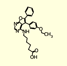 CCOc1ccc(-c2c(-c3ccccc3)oc3ncnc(NCCCCCC(=O)O)c23)cc1